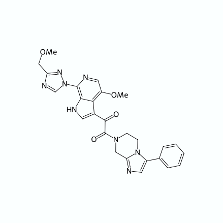 COCc1ncn(-c2ncc(OC)c3c(C(=O)C(=O)N4CCn5c(-c6ccccc6)cnc5C4)c[nH]c23)n1